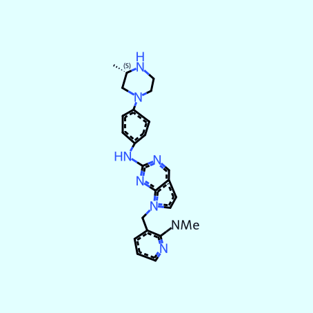 CNc1ncccc1Cn1ccc2cnc(Nc3ccc(N4CCN[C@@H](C)C4)cc3)nc21